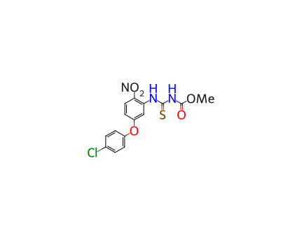 COC(=O)NC(=S)Nc1cc(Oc2ccc(Cl)cc2)ccc1[N+](=O)[O-]